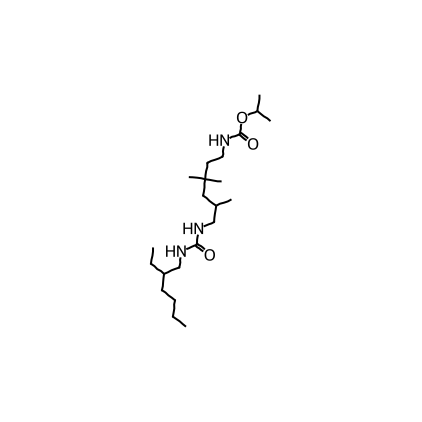 CCCCC(CC)CNC(=O)NCC(C)CC(C)(C)CCNC(=O)OC(C)C